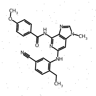 CCc1ccc(C#N)cc1Nc1cc2c(ncn2C)c(NC(=O)c2ccc(OC)cc2)n1